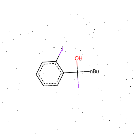 CCCCC(O)(I)c1ccccc1I